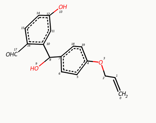 C=CCOc1ccc(C(O)c2cc(O)ccc2C=O)cc1